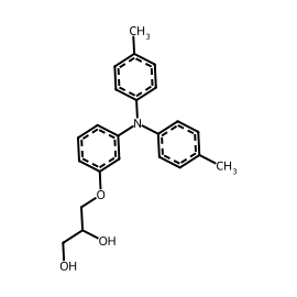 Cc1ccc(N(c2ccc(C)cc2)c2cccc(OCC(O)CO)c2)cc1